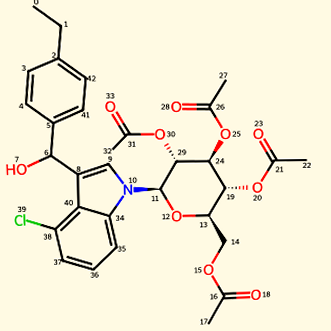 CCc1ccc(C(O)c2cn([C@@H]3O[C@H](COC(C)=O)[C@@H](OC(C)=O)[C@H](OC(C)=O)[C@H]3OC(C)=O)c3cccc(Cl)c23)cc1